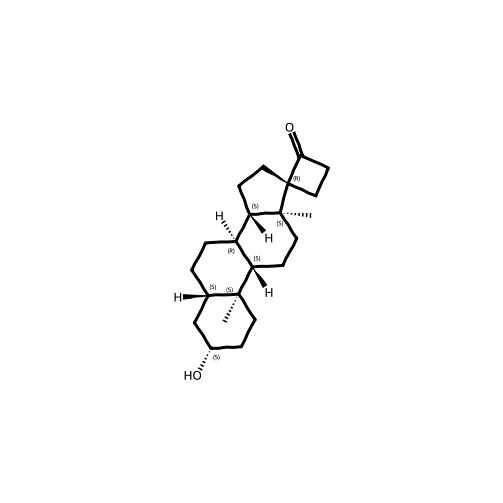 C[C@]12CC[C@H](O)C[C@@H]1CC[C@@H]1[C@@H]2CC[C@@]2(C)[C@H]1CC[C@@]21CCC1=O